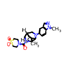 Cn1ncc2cc(N3C[C@H]4CN(C(=O)N5CCS(=O)(=O)CC5)CC3C(C)(C)C4)ccc21